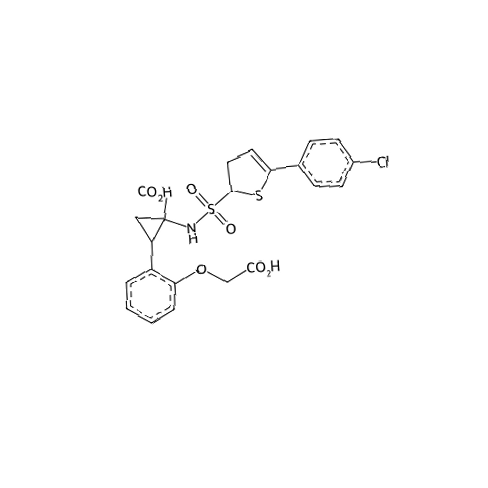 O=C(O)COc1ccccc1C1CC1(NS(=O)(=O)C1CC=C(c2ccc(Cl)cc2)S1)C(=O)O